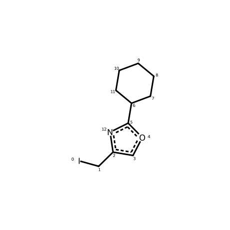 ICc1coc(C2CCCCC2)n1